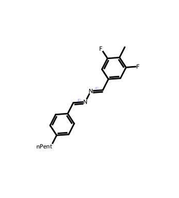 CCCCCc1ccc(/C=N/N=C/c2cc(F)c(C)c(F)c2)cc1